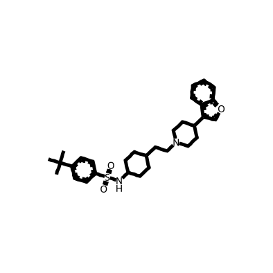 CC(C)(C)c1ccc(S(=O)(=O)NC2CCC(CCN3CCC(c4coc5ccccc45)CC3)CC2)cc1